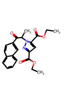 CCOC(=O)c1cc(C(=O)OCC)n(C(C)C(=O)c2ccc3ccccc3c2)n1